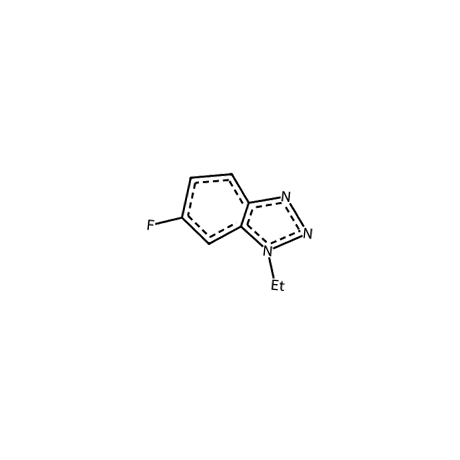 CCn1nnc2ccc(F)cc21